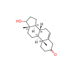 C[C@]12CCC(=O)CC1=CC[C@@H]1[C@@H]2CC[C@]2(C)C(O)CC[C@@H]12